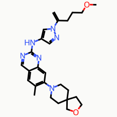 C=C(CCCOC)n1cc(Nc2ncc3cc(C)c(N4CCC5(CCOC5)CC4)cc3n2)cn1